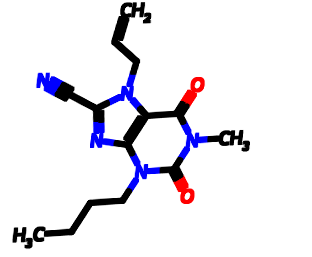 C=CCn1c(C#N)nc2c1c(=O)n(C)c(=O)n2CCCC